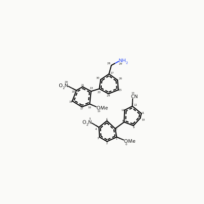 COc1ccc([N+](=O)[O-])cc1-c1cccc(C#N)c1.COc1ccc([N+](=O)[O-])cc1-c1cccc(CN)c1